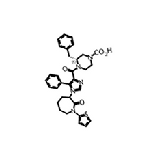 O=C(O)N1CCN(C(=O)c2ncn(C3CCCCN(c4cccs4)C3=O)c2-c2ccccc2)[C@H](Cc2ccccc2)C1